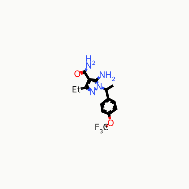 CCc1nn(C(C)c2ccc(OC(F)(F)F)cc2)c(N)c1C(N)=O